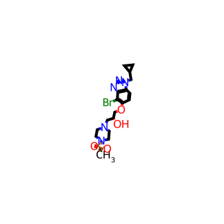 CS(=O)(=O)N1CCN(CC(O)COc2ccc3c(nnn3CC3CC3)c2Br)CC1